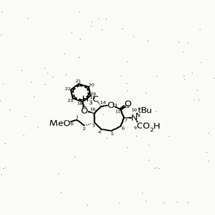 COCC[C@H]1CCC[C@H](N(C(=O)O)C(C)(C)C)C(=O)O[C@@H](C)[C@@H]1Oc1ccccc1